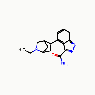 CCN1CC2CC1CC2C1=C2C(=NN=C2C(N)=O)CC=C1